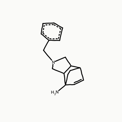 NC12C=CC(CC1)C1CN(Cc3ccccc3)CC12